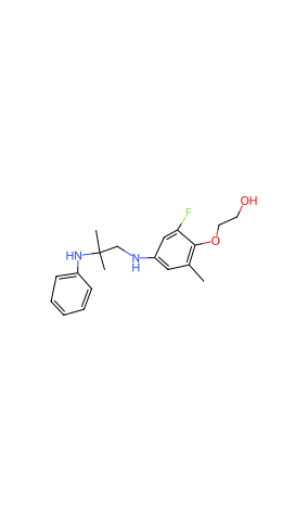 Cc1cc(NCC(C)(C)Nc2ccccc2)cc(F)c1OCCO